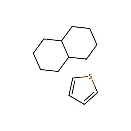 C1CCC2CCCCC2C1.c1ccsc1